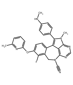 CNc1ccc(-c2c3c4c(ncnc4n2C)B(C#N)Cc2c-3ccc(Oc3cccc(C)n3)c2F)cc1